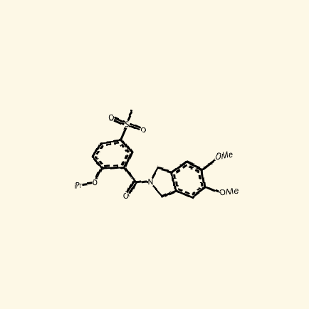 COc1cc2c(cc1OC)CN(C(=O)c1cc(S(C)(=O)=O)ccc1OC(C)C)C2